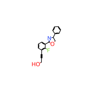 OCC#Cc1cccc(C2=NC(c3ccccc3)CO2)c1F